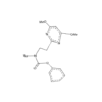 COc1cc(OC)nc(CCN(C(=O)Oc2ccccc2)C(C)(C)C)n1